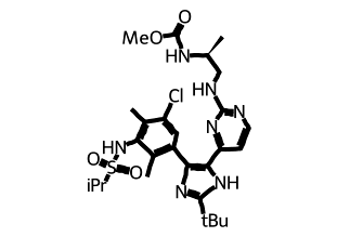 COC(=O)N[C@@H](C)CNc1nccc(-c2[nH]c(C(C)(C)C)nc2-c2cc(Cl)c(C)c(NS(=O)(=O)C(C)C)c2C)n1